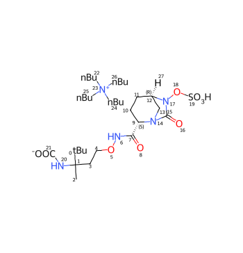 CC(C)(C)C(C)(CCONC(=O)[C@@H]1CC[C@@H]2CN1C(=O)N2OS(=O)(=O)O)NC(=O)[O-].CCCC[N+](CCCC)(CCCC)CCCC